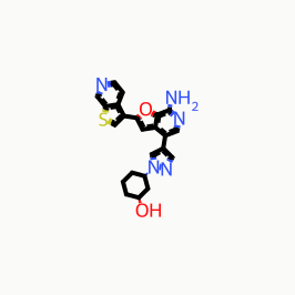 Nc1ncc(-c2cnn([C@H]3CCC[C@H](O)C3)c2)c2cc(-c3csc4cnccc34)oc12